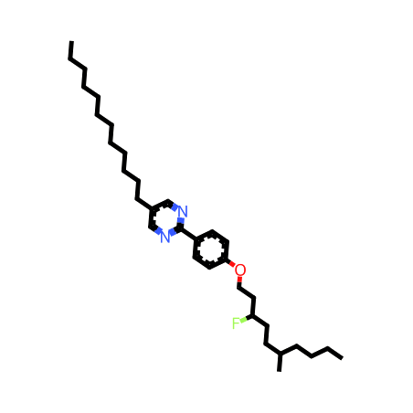 CCCCCCCCCCCCc1cnc(-c2ccc(OCCC(F)CCC(C)CCCC)cc2)nc1